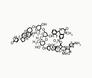 CN1C(=O)CN=C(c2ccccc2F)c2cc([N+](=O)[O-])ccc21.CO/N=C(\C(=O)N[C@@H]1C(=O)N2C(C(=O)[O-])=C(C[N+]3(C)CCCC3)CS[C@H]12)c1csc(N)n1.C[C@H]1O[C@@H](O[C@H]2[C@@H](O)C[C@H](O[C@H]3[C@@H](O)C[C@H](O[C@H]4CC[C@@]5(C)[C@H](CC[C@@H]6[C@@H]5CC[C@]5(C)[C@@H](C7=CC(=O)OC7)CC[C@]65O)C4)O[C@@H]3C)O[C@@H]2C)C[C@H](O)[C@@H]1O